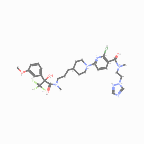 COc1cccc(C(O)(C(=O)N(C)CCCC2CCN(c3ccc(C(=O)N(C)CCn4cncn4)c(Cl)n3)CC2)C(F)(F)F)c1